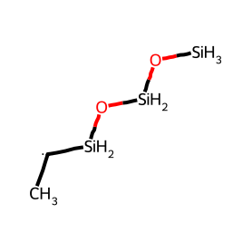 C[CH][SiH2]O[SiH2]O[SiH3]